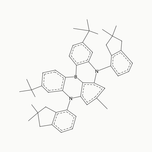 Cc1cc2c3c(c1)N(c1cccc4c1CC(C)(C)C4)c1cc(C(C)(C)C)ccc1B3c1ccc(C(C)(C)C)cc1N2c1cccc2c1CC(C)(C)C2